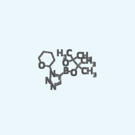 CC1(C)OB(c2cnnn2C2CCCCO2)OC1(C)C